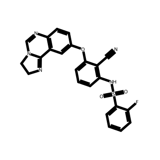 N#Cc1c(NS(=O)(=O)c2ccccc2F)cccc1Oc1ccc2c(c1)C1=NCCN1C=N2